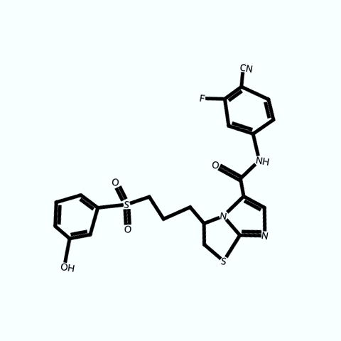 N#Cc1ccc(NC(=O)c2cnc3n2C(CCCS(=O)(=O)c2cccc(O)c2)CS3)cc1F